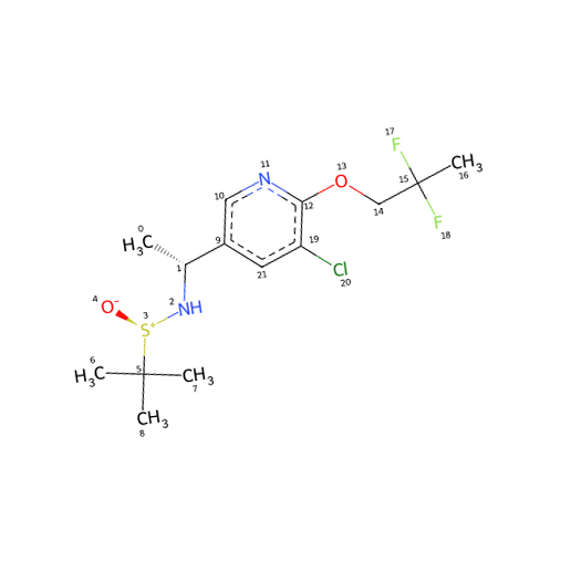 C[C@@H](N[S@+]([O-])C(C)(C)C)c1cnc(OCC(C)(F)F)c(Cl)c1